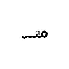 CCCCCCC(O)Cc1ccccc1